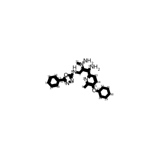 Cc1nc(/C(N)=C(\CNc2nnc(-c3ccccc3)o2)N(C)N)ccc1OC1CCCCC1